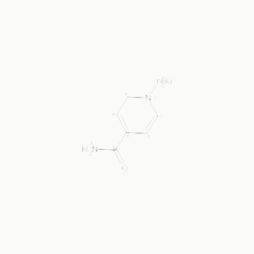 CCCCN1C=CC(C(N)=O)=CC1